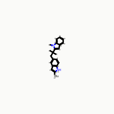 Cn1c(C(C)(C)Cc2ccc3[nH]c(C(C)(C)C)cc3c2)cc2ccccc21